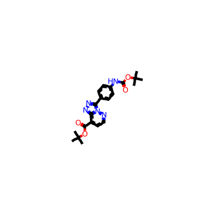 CC(C)(C)OC(=O)Nc1ccc(-c2nnc3c(C(=O)OC(C)(C)C)ccnn23)cc1